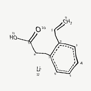 C=Cc1ccccc1CC(=O)O.[Li]